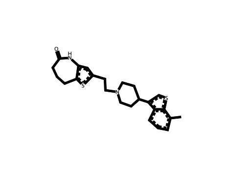 Cc1cccc2c(C3CCN(CCc4cc5c(s4)CCCC(=O)N5)CC3)csc12